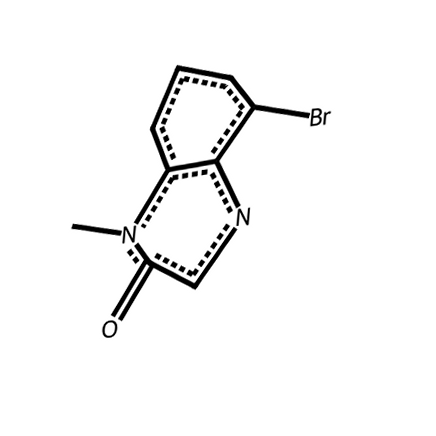 Cn1c(=O)cnc2c(Br)cccc21